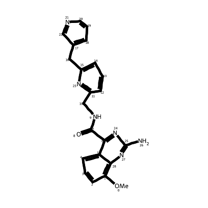 COc1cccc2c(C(=O)NCc3cccc(Cc4cccnc4)n3)nc(N)nc12